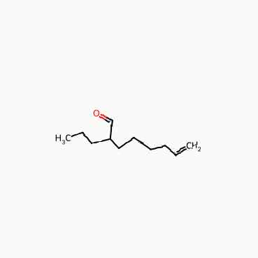 C=CCCCCC(C=O)CCC